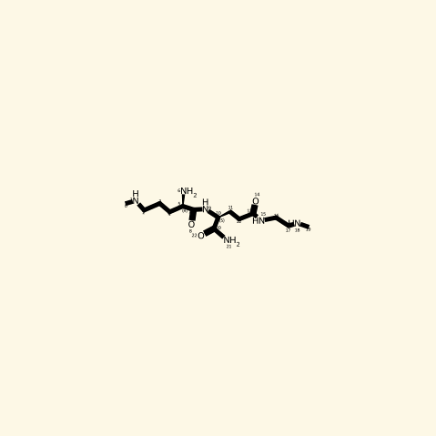 CNCCC[C@@H](N)C(=O)N[C@@H](CCC(=O)NCCNC)C(N)=O